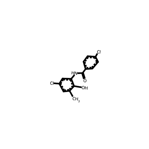 Cc1cc(Cl)cc(NC(=O)c2ccc(Cl)cc2)c1O